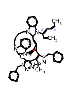 C=C/C(=C\C=C/C)N1c2ccccc2N2CCCCN3c4ccccc4N4c5ccccc5/C(=C/C21)CC1=C(c2nnn(Cc5ccccc5)c2CC34)[PH](C)=NP1Cc1ccccc1